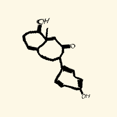 CC12CC(=O)C(c3ccc(O)cc3)CC1CCC2O